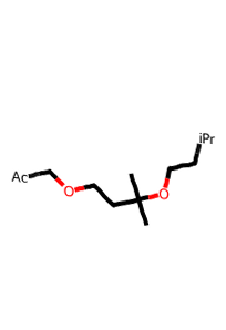 CC(=O)COCCC(C)(C)OCCC(C)C